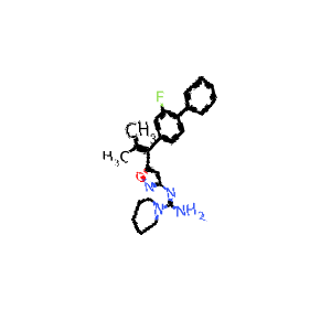 CC(C)=C(c1ccc(-c2ccccc2)c(F)c1)c1cc(/N=C(/N)N2CCCCC2)no1